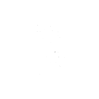 CCOC(=O)c1[nH]ccc1NCc1ccc(Cl)c(OC(F)(F)F)c1